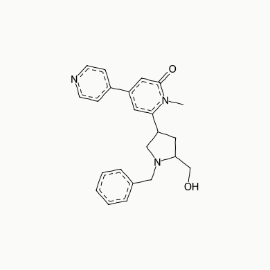 Cn1c(C2CC(CO)N(Cc3ccccc3)C2)cc(-c2ccncc2)cc1=O